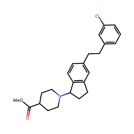 COC(=O)C1CCN(C2CCc3cc(CCc4cccc(Cl)c4)ccc32)CC1